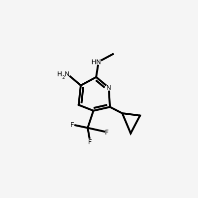 CNc1nc(C2CC2)c(C(F)(F)F)cc1N